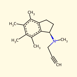 C#CCN(C)[C@@H]1CCc2c(C)c(C)c(C)c(C)c21